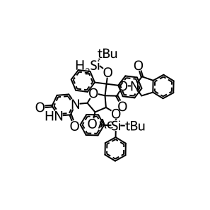 CC(=O)OC1C(n2ccc(=O)[nH]c2=O)OC(C(=O)ON2Cc3ccccc3C2=O)(C(O[SiH2]C(C)(C)C)(c2ccccc2)c2ccccc2)C1O[Si](c1ccccc1)(c1ccccc1)C(C)(C)C